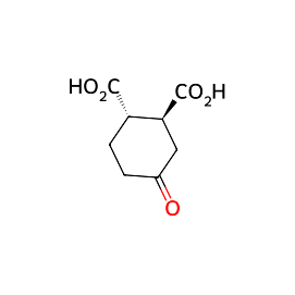 O=C1CC[C@H](C(=O)O)[C@@H](C(=O)O)C1